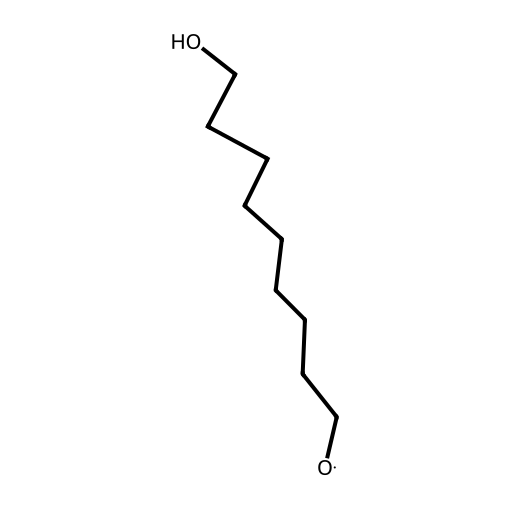 [O]CCCCCCCCCO